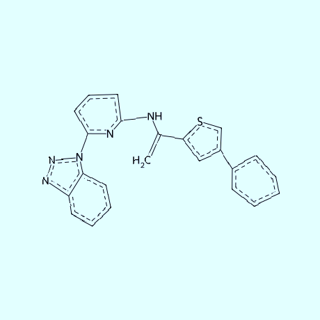 C=C(Nc1cccc(-n2nnc3ccccc32)n1)c1cc(-c2ccccc2)cs1